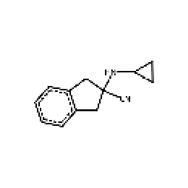 N#CC1(NC2CC2)Cc2ccccc2C1